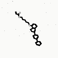 C=CC(=O)OCCCCCOc1cccc2c1CCC(c1ccc(-c3ccccc3)cc1)=C2